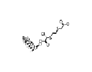 O=C([O-])CSCCS[C@@H](Cl)C(=O)[O-].[C]=O.[C]=O.[C]=O.[C]=O.[C]=O.[C]=O.[Re+].[Re+]